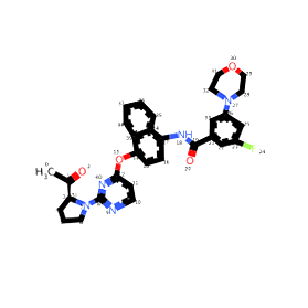 CC(=O)[C@@H]1CCCN1c1nccc(Oc2ccc(NC(=O)c3cc(F)cc(N4CCOCC4)c3)c3ccccc23)n1